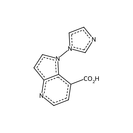 O=C(O)c1ccnc2ccn(-n3ccnc3)c12